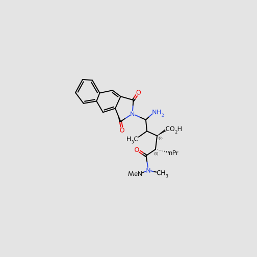 CCC[C@H](C(=O)N(C)NC)[C@H](C(=O)O)C(C)C(N)N1C(=O)c2cc3ccccc3cc2C1=O